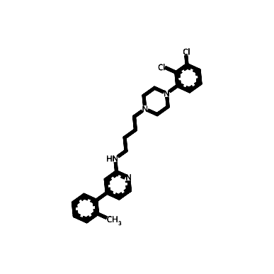 Cc1ccccc1-c1ccnc(NCCCCN2CCN(c3cccc(Cl)c3Cl)CC2)c1